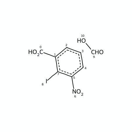 O=C(O)c1cccc([N+](=O)[O-])c1I.O=CO